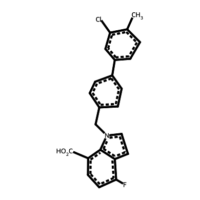 Cc1ccc(-c2ccc(Cn3ccc4c(F)ccc(C(=O)O)c43)cc2)cc1Cl